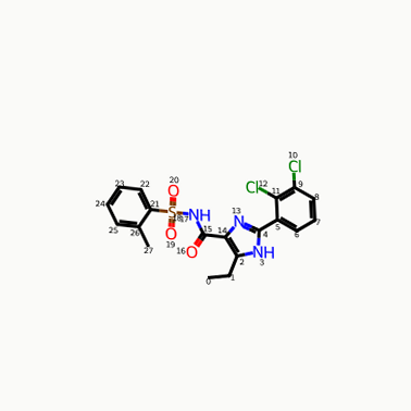 CCc1[nH]c(-c2cccc(Cl)c2Cl)nc1C(=O)NS(=O)(=O)c1ccccc1C